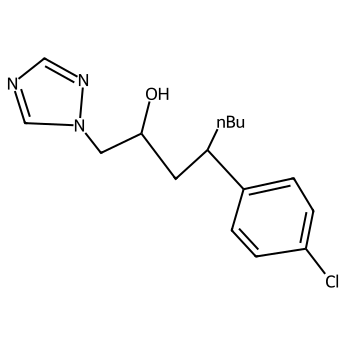 CCCCC(CC(O)Cn1cncn1)c1ccc(Cl)cc1